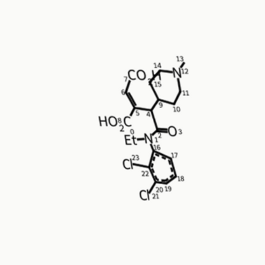 CCN(C(=O)C(/C(=C\C(=O)O)C(=O)O)C1CCN(C)CC1)c1cccc(Cl)c1Cl